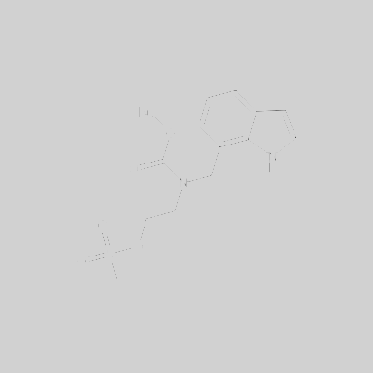 CC(C)(C)OC(=O)N(CCOS(C)(=O)=O)Cc1cccc2cc[nH]c12